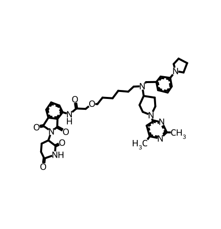 Cc1cc(N2CCC(N(CCCCCCOCC(=O)Nc3cccc4c3C(=O)N(C3CCC(=O)NC3=O)C4=O)Cc3cccc(N4CCCC4)c3)CC2)nc(C)n1